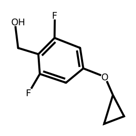 OCc1c(F)cc(OC2CC2)cc1F